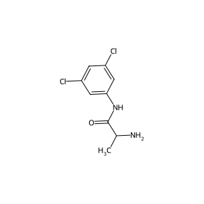 CC(N)C(=O)Nc1cc(Cl)cc(Cl)c1